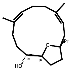 CC1=CCC2(C(C)C)CC[C@@](C)(O2)[C@H](O)CCC(C)=CCC1